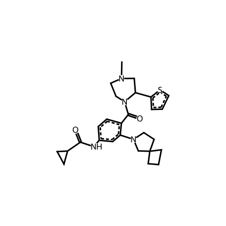 CN1CCN(C(=O)c2ccc(NC(=O)C3CC3)cc2N2CCC3(CCC3)C2)C(c2cccs2)C1